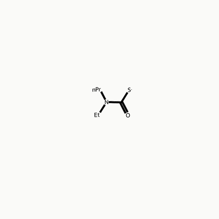 CCCN(CC)C(=O)[S]